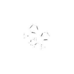 Cn1c(C2(c3ccccc3)CC2)nnc1C1(c2ccccc2)CC1